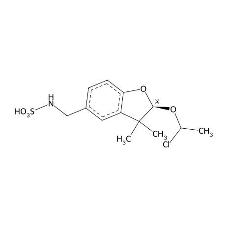 CC(Cl)O[C@@H]1Oc2ccc(CNS(=O)(=O)O)cc2C1(C)C